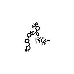 CS(=O)(=O)c1cccc(C(=O)NCc2cccc(-c3cccc(CN4CCNCC4)c3)c2)c1.O=C(O)C(F)(F)F.O=C(O)C(F)(F)F